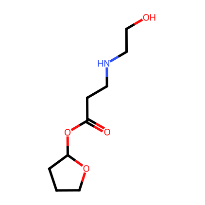 O=C(CCNCCO)OC1CCCO1